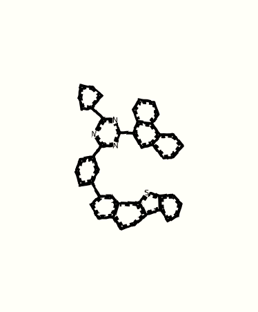 c1ccc(-c2nc(-c3cccc(-c4ccc5ccc6c7ccccc7sc6c5c4)c3)nc(-c3cc4ccccc4c4ccccc34)n2)cc1